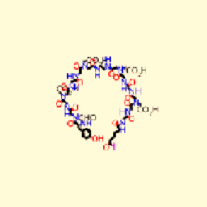 O=CN[C@@H](Cc1ccc(O)cc1)C(=O)NCC(=O)NCC(=O)N(CC(=O)O)CC(=O)NCC(=O)NCC(=O)N(CC(=O)O)CC(=O)NCCNC(=O)CN(CC(=O)O)C(=O)CNC(=O)CNC(=O)CN(CC(=O)O)C(=O)CNC(=O)CNC(=O)CCCCC(=O)I